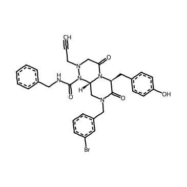 C#CCN1CC(=O)N2[C@@H](Cc3ccc(O)cc3)C(=O)N(Cc3cccc(Br)c3)C[C@@H]2N1C(=O)NCc1ccccc1